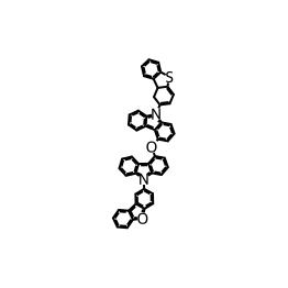 C1=C2Sc3ccccc3C2CC(n2c3ccccc3c3c(Oc4cccc5c4c4ccccc4n5-c4ccc5oc6ccccc6c5c4)cccc32)=C1